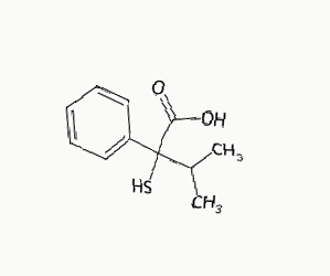 CC(C)C(S)(C(=O)O)c1ccccc1